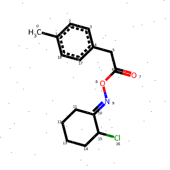 Cc1ccc(CC(=O)ON=C2CCCCC2Cl)cc1